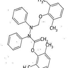 C=C(Oc1c(C)cccc1C)N(c1ccccc1)N(COc1c(C)cccc1C)c1ccccc1